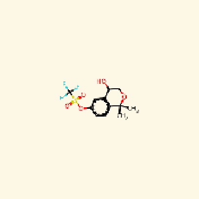 CC1(C)OCC(O)c2cc(OS(=O)(=O)C(F)(F)F)ccc21